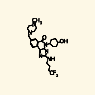 CN1CCN(Cc2ccc3c(c2)c(=O)n(C2CCC(O)CC2)c2nc(NCCCC(F)(F)F)ncc32)CC1